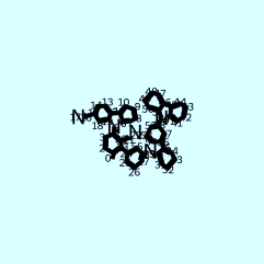 Cc1ccc(-n2c3ccccc3c3ccc(C#N)cc32)c(C#N)c1-c1cccc(-n2c3ccccc3c3cc(-n4c5ccccc5c5ccccc54)ccc32)c1